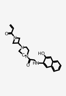 C=CC(=O)N1CC(N2CCN(C(=O)CNc3cc4ccccc4cc3O)CC2)C1